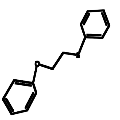 c1ccc(OCCSc2ccccc2)cc1